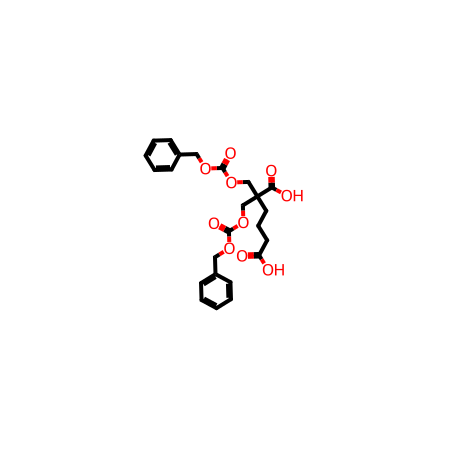 O=C(O)CCCC(COC(=O)OCc1ccccc1)(COC(=O)OCc1ccccc1)C(=O)O